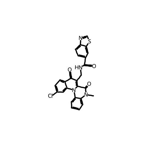 Cn1c(=O)c2c(CNC(=O)c3ccc4ncsc4c3)c(=O)c3ccc(Cl)cc3n2c2ccccc21